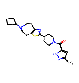 Cc1cc(C(=O)N2CCC(c3nc4c(s3)CCN(C3CCC3)CC4)CC2)[nH]n1